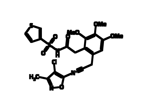 COc1cc(CC#[N+]c2onc(C)c2Cl)c(CC(=O)NS(=O)(=O)c2ccsc2)c(OC)c1OC